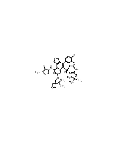 CN1CC[C@@H](Nc2nc(OCC3(N(C)C)COC3)nc3c(Cl)c(-c4ccc(F)c5sc(NC(=O)OC(C)(C)C)c(C#N)c45)c4c(c23)COC4)C1=O